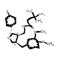 COc1ccc(C[C@H]2CO[C@H](c3ccc(F)cc3)[C@H]2COC(=O)CC(C)(C)C)cc1OC